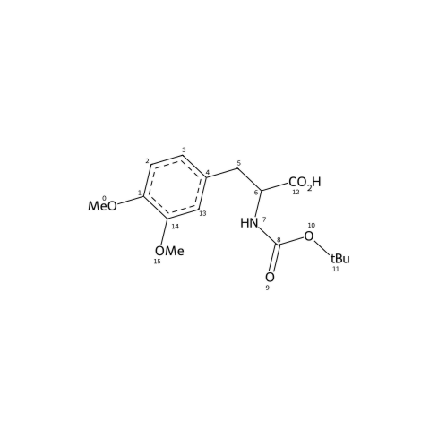 COc1ccc(CC(NC(=O)OC(C)(C)C)C(=O)O)cc1OC